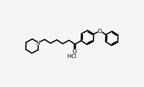 Cl.O=C(CCCCCN1CCCCC1)c1ccc(Oc2ccccc2)cc1